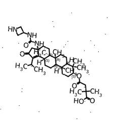 CC(C)C1=C2[C@H]3CC[C@@H]4[C@@]5(C)CC[C@H](OC(=O)CC(C)(C)C(=O)O)C(C)(C)[C@@H]5CC[C@@]4(C)[C@]3(C)CC[C@@]2(NC(=O)NC2CNC2)CC1=O